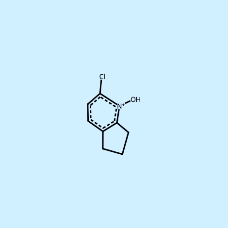 O[n+]1c(Cl)ccc2c1CCC2